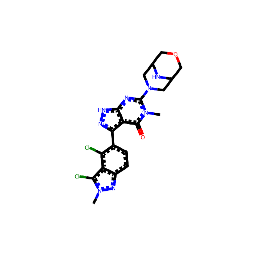 Cn1nc2ccc(-c3n[nH]c4nc(N5CC6COCC(C5)N6)n(C)c(=O)c34)c(Cl)c2c1Cl